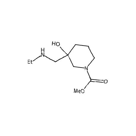 CCNCC1(O)CCCN(C(=O)OC)C1